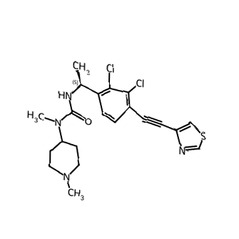 C[C@H](NC(=O)N(C)C1CCN(C)CC1)c1ccc(C#Cc2cscn2)c(Cl)c1Cl